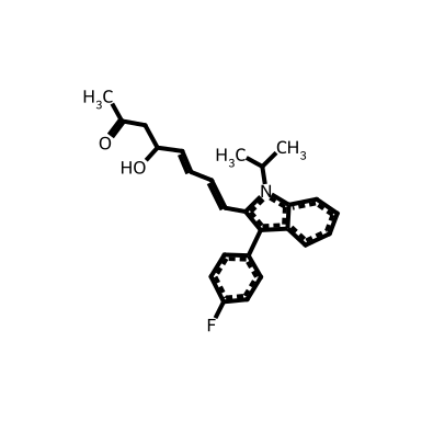 CC(=O)CC(O)/C=C/C=C/c1c(-c2ccc(F)cc2)c2ccccc2n1C(C)C